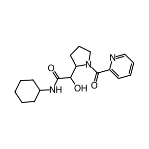 O=C(NC1CCCCC1)C(O)C1CCCN1C(=O)c1ccccn1